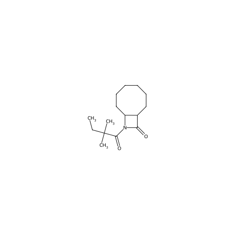 CCC(C)(C)C(=O)N1C(=O)C2CCCCCCC21